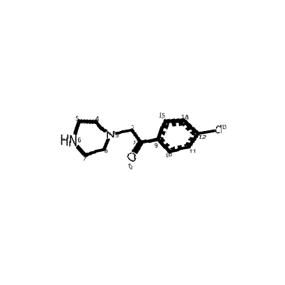 O=C(CN1CCNCC1)c1ccc(Cl)cc1